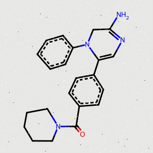 NC1=NC=C(c2ccc(C(=O)N3CCCCC3)cc2)N(c2ccccc2)C1